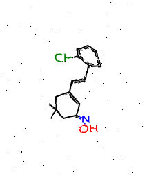 CC1(C)CC(C=Cc2ccccc2Cl)=CC(=NO)C1